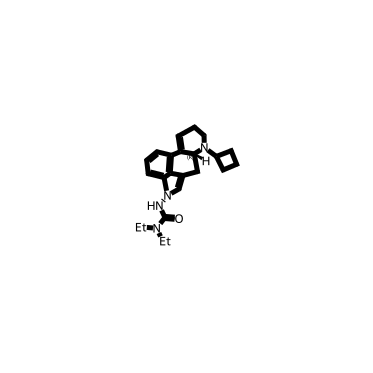 CCN(CC)C(=O)Nn1cc2c3c(cccc31)C1=CCCN(C3CCC3)[C@@H]1C2